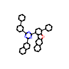 c1ccc(-c2cccc(-c3nc(-c4ccc5ccccc5c4)nc(-c4ccc(-c5ccccc5)c5oc6cc7ccccc7cc6c45)n3)c2)cc1